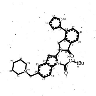 CC(C)(C)OC(=O)n1c(N2Cc3c(cccc3-c3ccco3)C2=O)cc2cc(CN3CCCCC3)ccc21